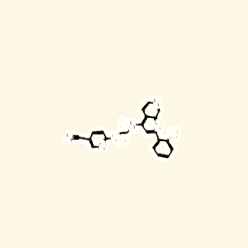 N#Cc1ccc(NCCNc2cc(-c3ccccc3Cl)nc3cnccc23)nc1